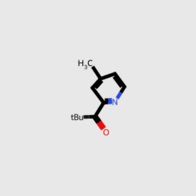 Cc1ccnc(C(=O)C(C)(C)C)c1